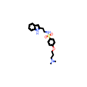 CN(C)CCCOc1ccc(S(=O)(=O)NCCc2cc3ccccc3[nH]2)cc1